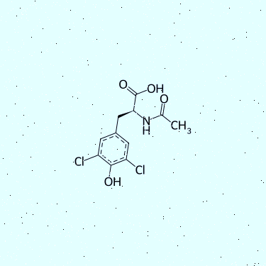 CC(=O)N[C@@H](Cc1cc(Cl)c(O)c(Cl)c1)C(=O)O